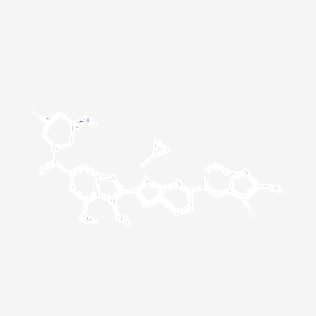 COc1cc(C(=O)N2C[C@H](N)C[C@@H](F)C2)cc2nc(-c3cc4ccc(-c5ccn6nc(C)c(F)c6c5)nc4n3CC3CC3)n(C)c12